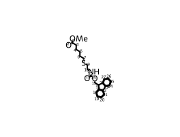 COC(=O)CCCCCSCCNC(=O)OCC1c2ccccc2-c2ccccc21